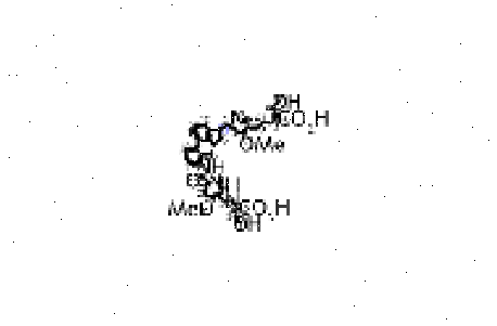 COc1cc(/C=C2\CCc3c2cccc3-c2cccc(NC(=O)c3cc(OC)c(CN[C@@H](CO)C(=O)O)cn3)c2C)ncc1CCC[C@@H](CO)C(=O)O